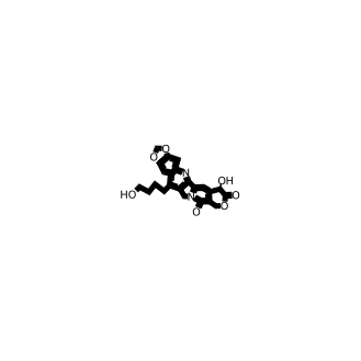 O=C1OCc2c(cc3n(c2=O)Cc2c-3nc3cc4c(cc3c2CCCCO)OCO4)[C@@H]1O